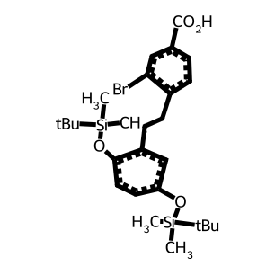 CC(C)(C)[Si](C)(C)Oc1ccc(O[Si](C)(C)C(C)(C)C)c(CCc2ccc(C(=O)O)cc2Br)c1